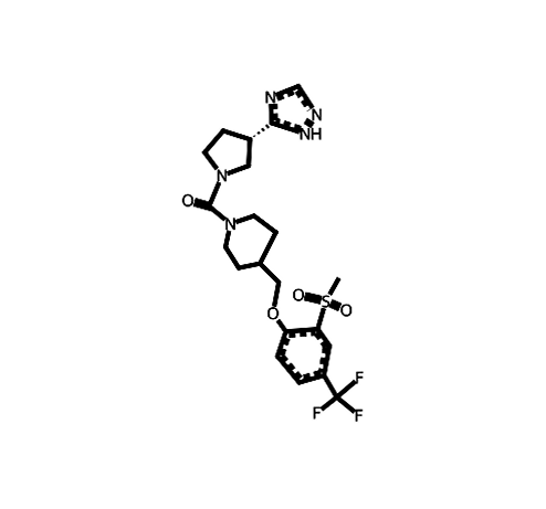 CS(=O)(=O)c1cc(C(F)(F)F)ccc1OCC1CCN(C(=O)N2CC[C@H](c3ncn[nH]3)C2)CC1